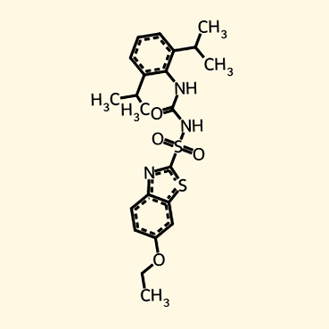 CCOc1ccc2nc(S(=O)(=O)NC(=O)Nc3c(C(C)C)cccc3C(C)C)sc2c1